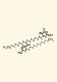 CCCCCCCCCCCC/C(=C/C(=O)O)C(=O)O.CCCCCCCCCCCCCCCC/C=C/C(=C/C(=O)O)C(=O)O